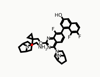 NCC1CC2CCC(C1)N2CC1(COc2nc(N3CC4CCC(C3)N4)c3ccc(-c4cc(O)cc5ccc(F)c(F)c45)c(F)c3n2)CC1